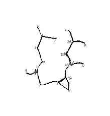 CC(C)CCN(C)CC1CC1N(C)CC(C)C